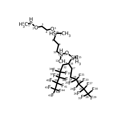 CPOCCO[SiH](C)CCC[SiH](C)O[SiH](C)C(CCC(F)(F)C(F)(F)C(F)(F)C(F)(F)F)CC(F)(F)C(F)(F)C(F)(F)C(F)(F)F